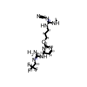 CN/C(=N/C#N)NCCCOc1nccc(N/C(N)=N\CC(F)(F)F)n1